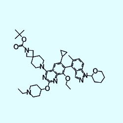 CCOc1c(-c2c(C)ccc3c2cnn3C2CCCCO2)c(C2CC2)cc2c(N3CCC4(CC3)CN(C(=O)OC(C)(C)C)C4)nc(OC3CCN(CC)CC3)nc12